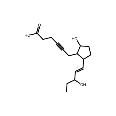 CCC(O)/C=C/C1CCC(O)C1CC#CCCC(=O)O